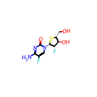 Nc1nc(=O)n([C@@H]2S[C@H](CO)[C@@H](O)[C@@H]2F)cc1F